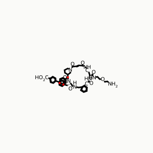 NCCOCCNC(=O)[C@@H]1CCNC(=O)/C=C/C(=O)N2CCC[C@](Cc3ccccc3)(C2)C(=O)N[C@@H](Cc2ccc(-c3ccc(C(=O)O)cc3)cc2)C(=O)NCc2ccccc2CC(=O)N1